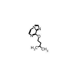 CC(C)CCOc1nccn2ccnc12